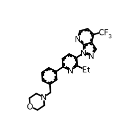 CCc1nc(-c2cccc(CN3CCOCC3)c2)ccc1-n1ncc2c(C(F)(F)F)ccnc21